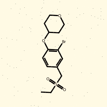 CCS(=O)(=O)Cc1ccc(OC2CCOCC2)c(Br)c1